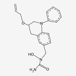 C=CCOC1Cc2cc(CN(O)C(N)=O)ccc2N(c2ccccc2)C1